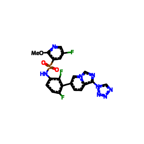 COc1ncc(F)cc1S(=O)(=O)Nc1ccc(F)c(-c2ccc3c(-n4cnnn4)ncn3c2)c1F